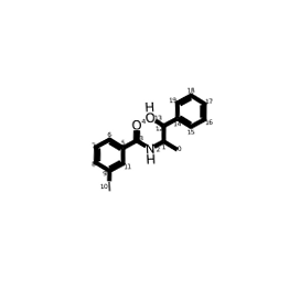 CC(NC(=O)c1cccc(I)c1)C(O)c1ccccc1